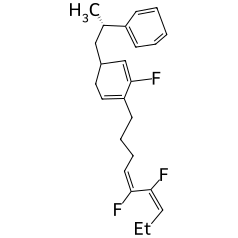 CC/C=C(F)\C(F)=C/CCCC1=CCC(C[C@H](C)c2ccccc2)C=C1F